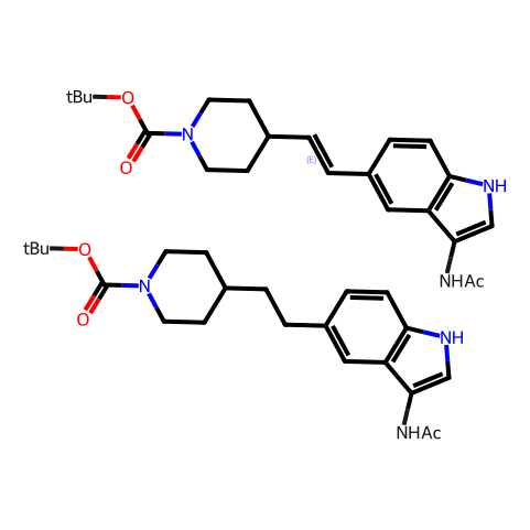 CC(=O)Nc1c[nH]c2ccc(/C=C/C3CCN(C(=O)OC(C)(C)C)CC3)cc12.CC(=O)Nc1c[nH]c2ccc(CCC3CCN(C(=O)OC(C)(C)C)CC3)cc12